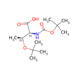 C[C@H](OC(C)(C)C)[C@H](NC(=O)OC(C)(C)C)C(=O)O